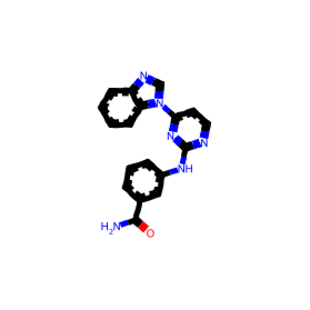 NC(=O)c1cccc(Nc2nccc(-n3cnc4ccccc43)n2)c1